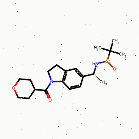 C[C@@H](N[S+]([O-])C(C)(C)C)c1ccc2c(c1)CCN2C(=O)C1CCOCC1